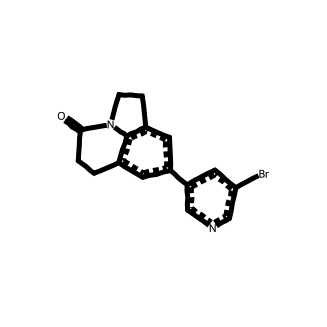 O=C1CCc2cc(-c3cncc(Br)c3)cc3c2N1CC3